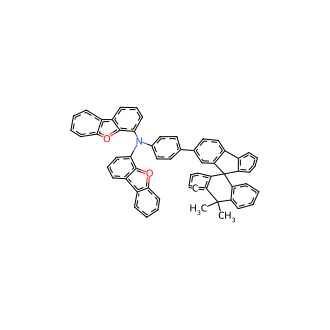 CC1(C)c2ccccc2C2(c3ccccc3-c3ccc(-c4ccc(N(c5cccc6c5oc5ccccc56)c5cccc6c5oc5ccccc56)cc4)cc32)c2ccccc21